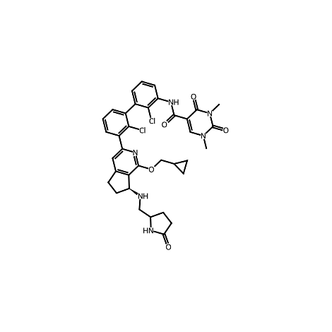 Cn1cc(C(=O)Nc2cccc(-c3cccc(-c4cc5c(c(OCC6CC6)n4)[C@@H](NCC4CCC(=O)N4)CC5)c3Cl)c2Cl)c(=O)n(C)c1=O